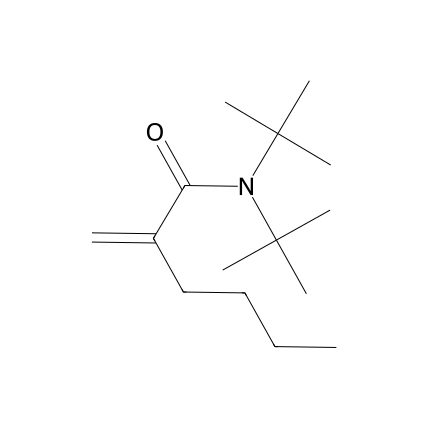 C=C(CCCC)C(=O)N(C(C)(C)C)C(C)(C)C